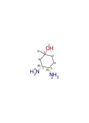 CC1(O)CC[C@H](N)[C@H](N)C1